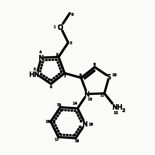 COCc1n[nH]cc1C1=CSC(N)N1c1ccccn1